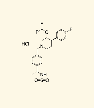 C[C@@H](NS(C)(=O)=O)c1ccc(CN2CC[C@H](c3ccc(F)cc3)[C@@H](OC(F)F)C2)cc1.Cl